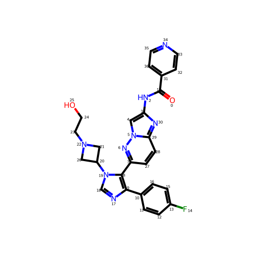 O=C(Nc1cn2nc(-c3c(-c4ccc(F)cc4)ncn3C3CN(CCO)C3)ccc2n1)c1ccncc1